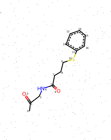 CC(=O)CNC(=O)CCCSc1ccccc1